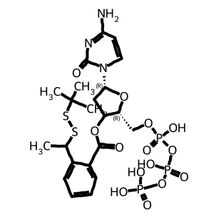 CC(SSC(C)(C)C)c1ccccc1C(=O)OC1C[C@H](n2ccc(N)nc2=O)O[C@@H]1COP(=O)(O)OP(=O)(O)OP(=O)(O)O